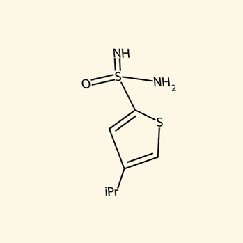 CC(C)c1csc(S(=N)(N)=O)c1